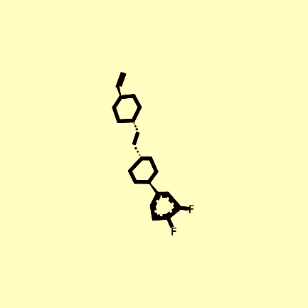 C=C[C@H]1CC[C@H](CC[C@H]2CC[C@H](c3ccc(F)c(F)c3)CC2)CC1